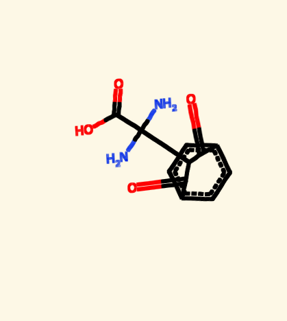 NC(N)(C(=O)O)C1C(=O)c2ccc(cc2)C1=O